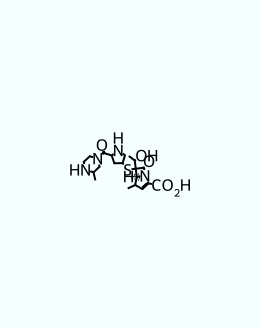 CC1CN(C(=O)C2CC(SC3(C(C)O)C(=O)N4C(C(=O)O)=CC(C)[C@H]43)CN2)CCN1